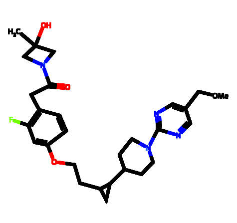 COCc1cnc(N2CCC(C3CC3CCOc3ccc(CC(=O)N4CC(C)(O)C4)c(F)c3)CC2)nc1